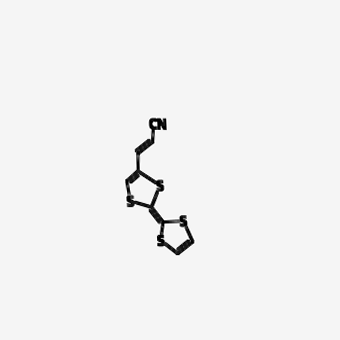 N#CC=CC1=CSC(=C2SC=CS2)S1